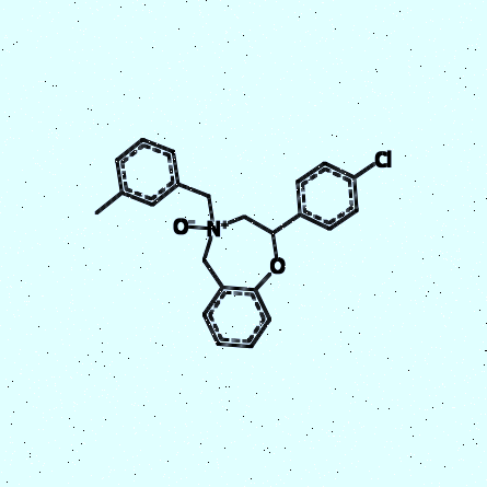 Cc1cccc(C[N+]2([O-])Cc3ccccc3OC(c3ccc(Cl)cc3)C2)c1